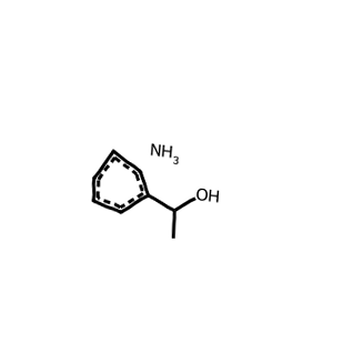 CC(O)c1ccccc1.N